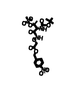 C[C@H](OS(C)(=O)=O)[C@H](NC(=O)OC(C)(C)C)C(=O)NOCC(=O)OCc1ccc([N+](=O)[O-])cc1